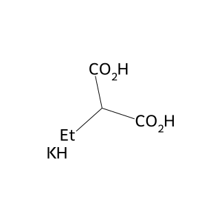 CCC(C(=O)O)C(=O)O.[KH]